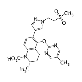 Cc1cnc(Oc2c(-c3cnn(CCS(C)(=O)=O)c3)ccc3c2CC[C@H](C)N3C(=O)O)nc1